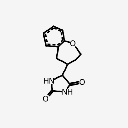 O=C1NC(=O)C(C2CCOc3ccccc3C2)N1